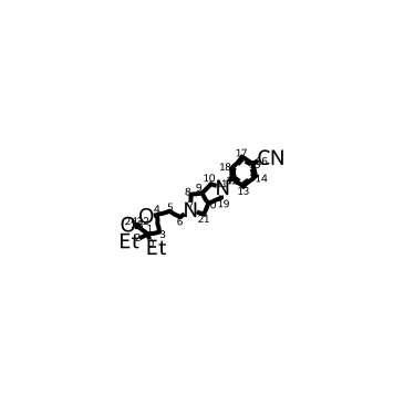 CCC1(CC)CC(CCN2CC3CN(c4ccc(C#N)cc4)CC3C2)OC1=O